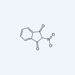 O=C1c2ccccc2C(=O)C1[N+](=O)[O-]